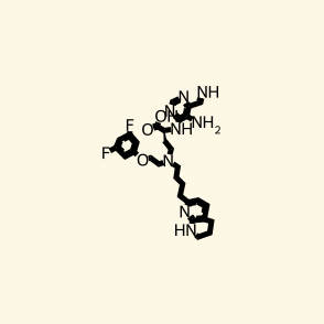 N=Cc1ncnc(N[C@@H](CCN(CCCCc2ccc3c(n2)NCCC3)CCOc2cc(F)cc(F)c2)C(=O)O)c1N